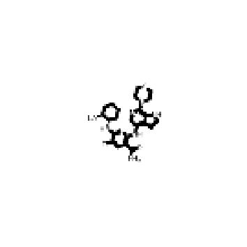 NC(=O)c1cc(F)c(N[C@@H]2CCCC[C@@H]2N)nc1Nc1cnc(N2CCOCC2)c2[nH]ccc12